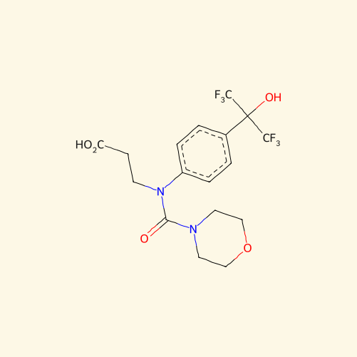 O=C(O)CCN(C(=O)N1CCOCC1)c1ccc(C(O)(C(F)(F)F)C(F)(F)F)cc1